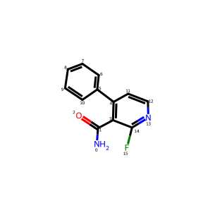 NC(=O)c1c(-c2ccccc2)ccnc1F